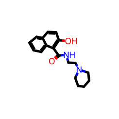 O=C(NCCN1CCCCC1)c1c(O)ccc2ccccc12